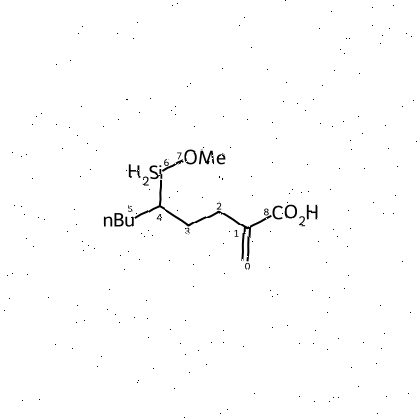 C=C(CCC(CCCC)[SiH2]OC)C(=O)O